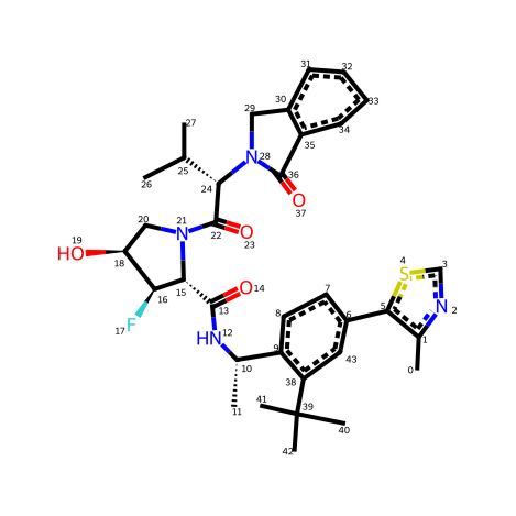 Cc1ncsc1-c1ccc([C@H](C)NC(=O)[C@@H]2[C@@H](F)[C@@H](O)CN2C(=O)[C@H](C(C)C)N2Cc3ccccc3C2=O)c(C(C)(C)C)c1